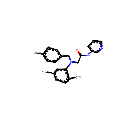 CC(=O)c1ccc(CN(CC(=O)Nc2cccnc2)c2cc(C)ccc2C)cc1